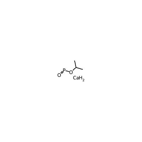 CC(C)OP=O.[CaH2]